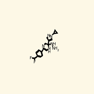 NNC1(c2cnn(C3CC3)c2)C=NC(c2ccc(C(F)F)cc2)=CN1